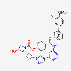 COc1ccc(C23CCC(CN(c4cc(-c5cnn(C6CCC6)c5)ncn4)C(=O)[C@H]4CC[C@H](OC(=O)N5CC(O)C5)CC4)(CC2)CC3)cc1C